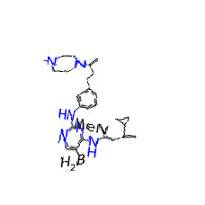 Bc1cnc(Nc2cccc(CCC(=C)N3CCN(C)CC3)c2)nc1N/C(=C/C(=C)C1CC1)NC